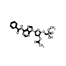 COP(=O)(O)CO[C@H]1O[C@@H](n2cnc3c(NC(=O)c4ccccc4)ncnc32)C[C@@H]1OC(C)=O